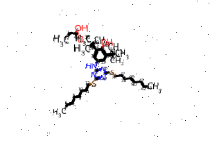 CCC(=O)O.CCCCCCCCSc1nc(Nc2cc(C(C)(C)C)c(O)c(C(C)(C)C)c2)nc(SCCCCCCCC)n1